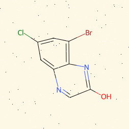 Oc1cnc2cc(Cl)cc(Br)c2n1